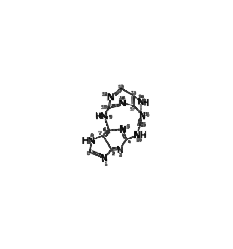 c1nc2nc3nc(c2[nH]1)Nc1ncc2[nH]c(nc2n1)N3